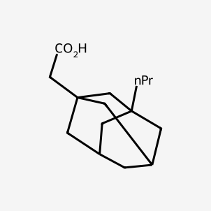 CCCC12CC3CC(C1)CC(CC(=O)O)(C3)C2